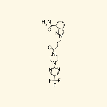 NC(=O)c1cccc2cn(CCCC(=O)N3CCN(c4ncc(C(F)(F)F)cn4)CC3)nc12